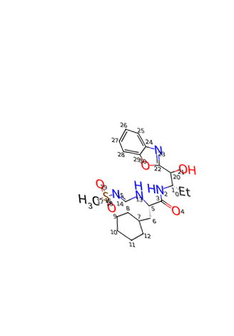 CC[C@H](NC(=O)[C@H](CC1CCCCC1)NC=NS(C)(=O)=O)C(O)c1nc2ccccc2o1